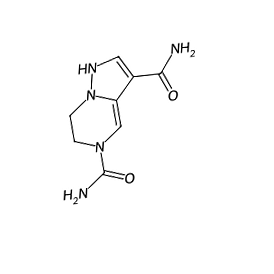 NC(=O)C1=CNN2CCN(C(N)=O)C=C12